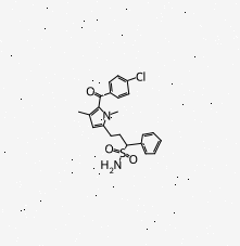 Cc1cc(CCC(c2ccccc2)S(N)(=O)=O)n(C)c1C(=O)c1ccc(Cl)cc1